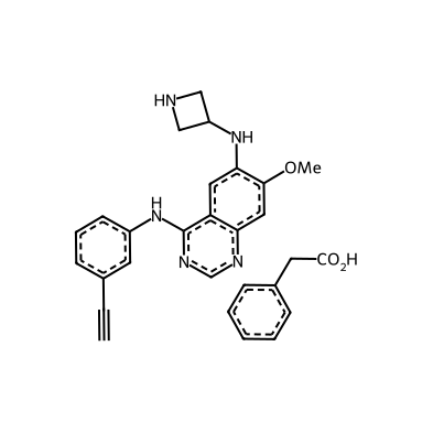 C#Cc1cccc(Nc2ncnc3cc(OC)c(NC4CNC4)cc23)c1.O=C(O)Cc1ccccc1